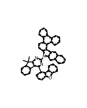 CC1(C)c2ccccc2-c2c(-c3cccc4oc5ccccc5c34)nc(-n3c4cc5ccccc5cc4c4c5c6ccccc6c6ccccc6c5ccc43)nc21